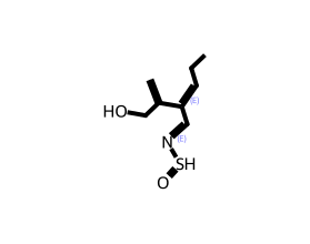 C=C(CO)C(/C=N/[SH]=O)=C\CC